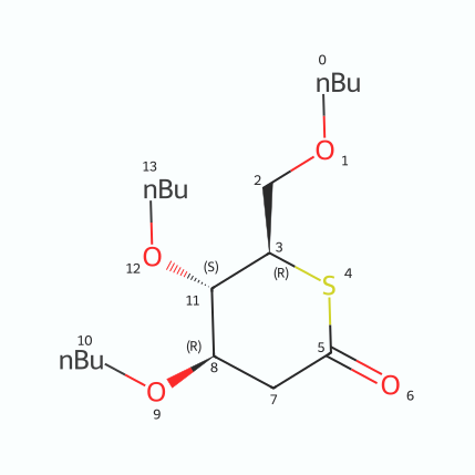 CCCCOC[C@H]1SC(=O)C[C@@H](OCCCC)[C@@H]1OCCCC